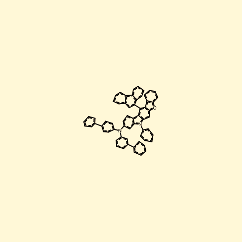 c1ccc(-c2ccc(N(c3cccc(-c4ccccc4)c3)c3ccc4c5c(-c6cc7ccccc7c7ccccc67)c6c(cc5n(-c5ccccc5)c4c3)oc3ccccc36)cc2)cc1